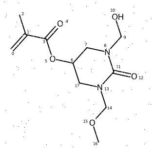 C=C(C)C(=O)OC1CN(CO)C(=O)N(COC)C1